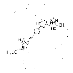 COCCN1CC2C(C#Cc3ccc(/C(=C/CCn4ccnc4[C@H](C)O)PC)cc3)C2(C)C1